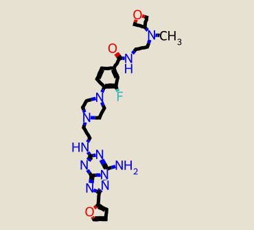 CN(CCNC(=O)c1ccc(N2CCN(CCNc3nc(N)n4nc(-c5ccco5)nc4n3)CC2)c(F)c1)C1COC1